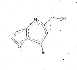 OCc1cc(Br)c2occc2n1